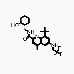 CC1=CC(C(=O)NC[C@@H]2CCCC[C@@H]2O)=NC2C(C(C)(C)C)=CC(NCC(F)(F)F)=CC12